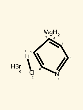 Br.[Li][Cl].[MgH2].c1ccncc1